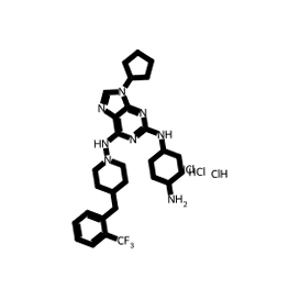 Cl.Cl.Cl.NC1CCC(Nc2nc(NN3CCC(Cc4ccccc4C(F)(F)F)CC3)c3ncn(C4CCCC4)c3n2)CC1